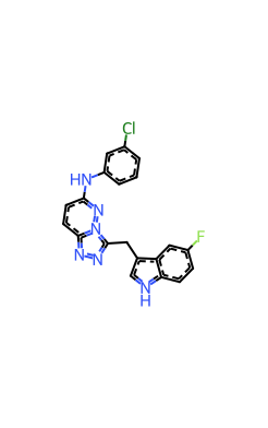 Fc1ccc2[nH]cc(Cc3nnc4ccc(Nc5cccc(Cl)c5)nn34)c2c1